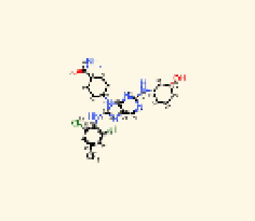 NC(=O)C1CCC(n2c(Nc3c(Cl)cc(C(F)(F)F)cc3Cl)nc3cnc(N[C@@H]4CCC[C@H](O)C4)nc32)CC1